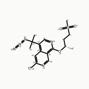 C[C@@H](CCS(C)(=O)=O)Oc1ncc(C(C)(C)N=[N+]=[N-])c2cc(Cl)ncc12